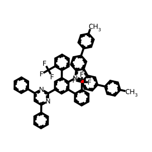 Cc1ccc(-c2ccc3c(c2)c2cc(-c4ccc(C)cc4)ccc2n3-c2c(-c3ccccc3C(F)(F)F)cc(-c3nc(-c4ccccc4)cc(-c4ccccc4)n3)cc2-c2ccccc2C(F)(F)F)cc1